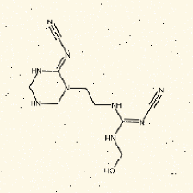 N#C/N=C(/NCO)NCCN1CNCN/C1=N\C#N